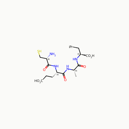 CC(C)C[C@H](NC(=O)[C@H](C)NC(=O)[C@H](CCC(=O)O)NC(=O)[C@@H](N)CS)C(=O)O